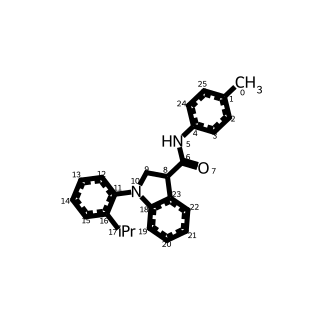 Cc1ccc(NC(=O)C2CN(c3ccccc3C(C)C)c3ccccc32)cc1